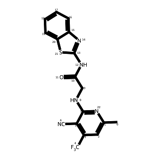 Cc1cc(C(F)(F)F)c(C#N)c(NCC(=O)Nc2nc3ccccc3s2)n1